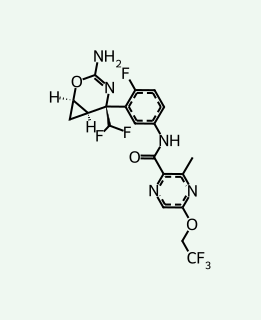 Cc1nc(OCC(F)(F)F)cnc1C(=O)Nc1ccc(F)c([C@@]2(C(F)F)N=C(N)O[C@@H]3C[C@@H]32)c1